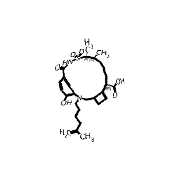 C=C(C)CCCCN1CC2CCC2[C@H](C(=O)O)CCC[C@H](C)[C@@H](C)S(=O)(=O)NC(=O)c2ccc(O)c1c2